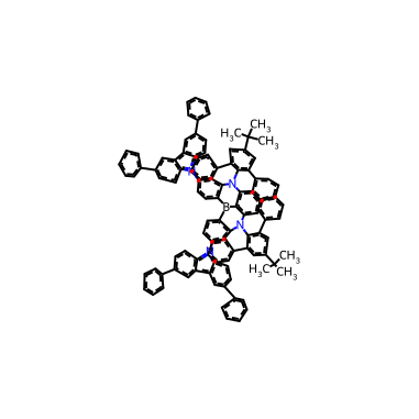 CC(C)(C)c1cc(-c2ccccc2)c(N2c3cc(-n4c5ccc(-c6ccccc6)cc5c5cc(-c6ccccc6)ccc54)ccc3B3c4ccc(-n5c6ccc(-c7ccccc7)cc6c6cc(-c7ccccc7)ccc65)cc4N(c4c(-c5ccccc5)cc(C(C)(C)C)cc4-c4ccccc4)c4cccc2c43)c(-c2ccccc2)c1